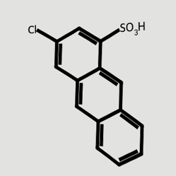 O=S(=O)(O)c1cc(Cl)cc2cc3ccccc3cc12